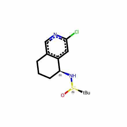 CC(C)(C)[S@@+]([O-])N[C@H]1CCCc2cnc(Cl)cc21